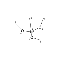 CO[N+](C)(OC)OC